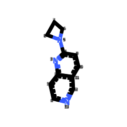 c1cc2nc(N3CCC3)ccc2cn1